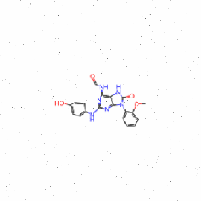 COc1ccccc1-n1c(=O)[nH]c2c(NC=O)nc(Nc3ccc(O)cc3)nc21